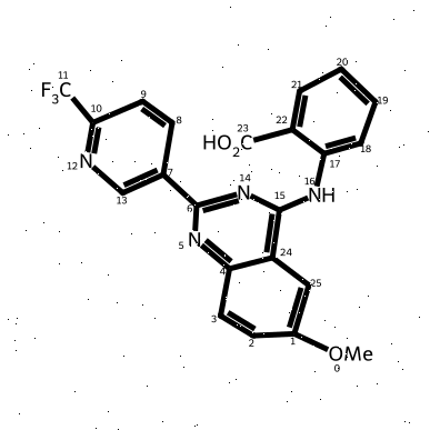 COc1ccc2nc(-c3ccc(C(F)(F)F)nc3)nc(Nc3ccccc3C(=O)O)c2c1